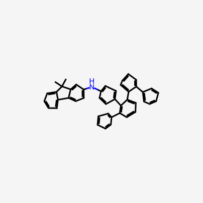 CC1(C)c2ccccc2-c2ccc(Nc3ccc(-c4c(-c5ccccc5)cccc4-c4ccccc4-c4ccccc4)cc3)cc21